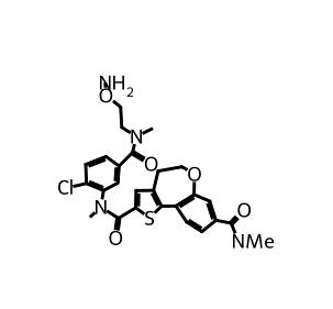 CNC(=O)c1ccc2c(c1)OCCc1cc(C(=O)N(C)c3cc(C(=O)N(C)CCON)ccc3Cl)sc1-2